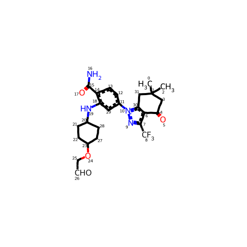 CC1(C)CC(=O)c2c(C(F)(F)F)nn(-c3ccc(C(N)=O)c(NC4CCC(OCC=O)CC4)c3)c2C1